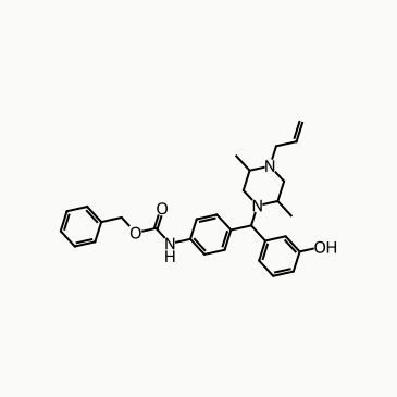 C=CCN1CC(C)N(C(c2ccc(NC(=O)OCc3ccccc3)cc2)c2cccc(O)c2)CC1C